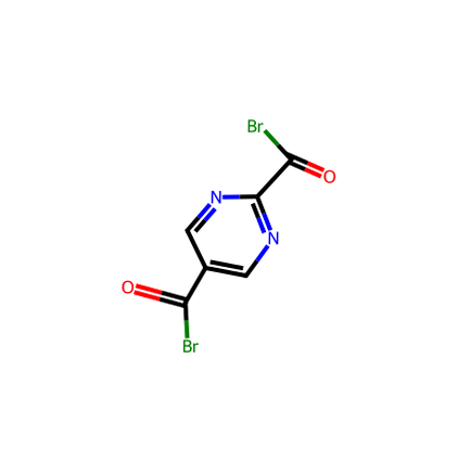 O=C(Br)c1cnc(C(=O)Br)nc1